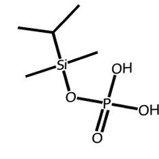 CC(C)[Si](C)(C)OP(=O)(O)O